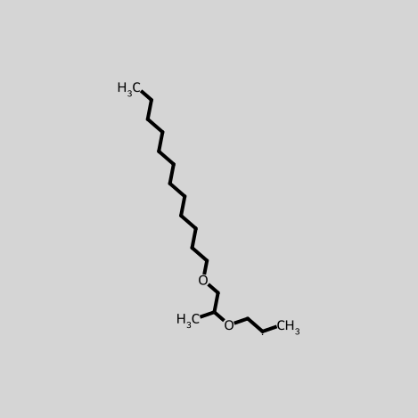 C[CH]COC(C)COCCCCCCCCCCCC